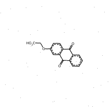 O=C(O)COc1ccc2c(c1)C(=O)c1ccccc1C2=O